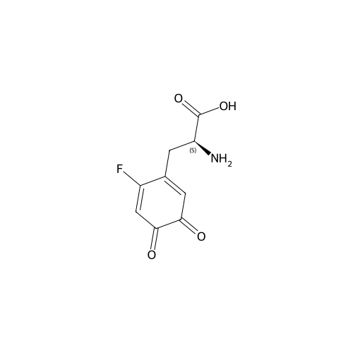 N[C@@H](CC1=CC(=O)C(=O)C=C1F)C(=O)O